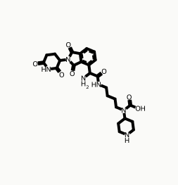 NC(C(=O)NCCCCN(C(=O)O)C1CCNCC1)c1cccc2c1C(=O)N(C1CCC(=O)NC1=O)C2=O